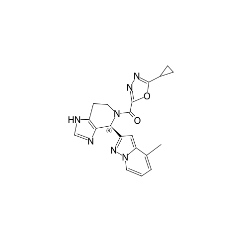 Cc1cccn2nc([C@H]3c4nc[nH]c4CCN3C(=O)c3nnc(C4CC4)o3)cc12